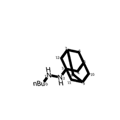 CCCCNNC12CC3CC(CC(C3)C1)C2